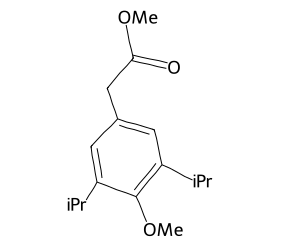 COC(=O)Cc1cc(C(C)C)c(OC)c(C(C)C)c1